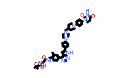 Cc1cc(-c2ncnc3[nH]c(-c4ccc(N5CCN(CC6CCN(c7ccc(N8CCC(=O)NC8=O)cc7)CC6)CC5)cc4)cc23)ccc1CNC(=O)c1noc(C(C)(C)C(F)(F)F)n1